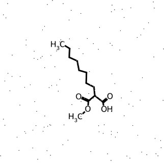 CCCCCCCCC(C(=O)O)C(=O)OC